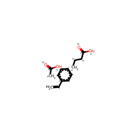 C=Cc1ccccc1.CC(=O)O.CCCC(=O)O